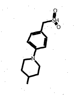 CC1CCN(c2ccc(C[SH](=O)=O)cc2)CC1